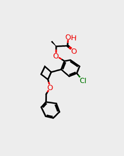 C[C@H](Oc1ccc(Cl)cc1C1CCC1OCc1ccccc1)C(=O)O